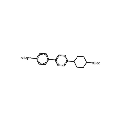 CCCCCCCCCCC1CCC(c2ccc(-c3ccc(CCCCCCC)cc3)cc2)CC1